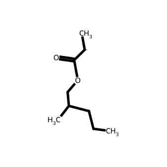 C[CH]C(=O)OCC(C)CCC